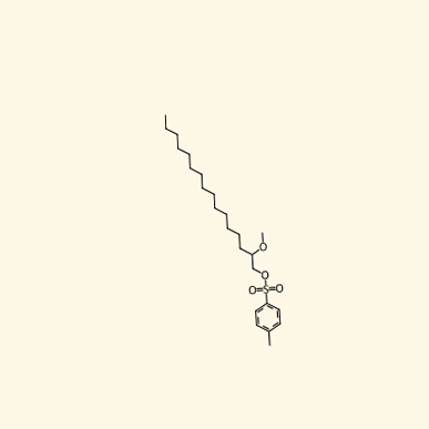 CCCCCCCCCCCCCCC(COS(=O)(=O)c1ccc(C)cc1)OC